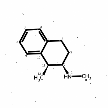 CN[C@@H]1CCc2ccccc2[C@@H]1C